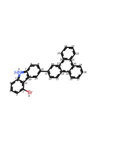 Brc1cccc2[nH]c3ccc(-c4ccc5c6ccccc6c6ccccc6c5c4)cc3c12